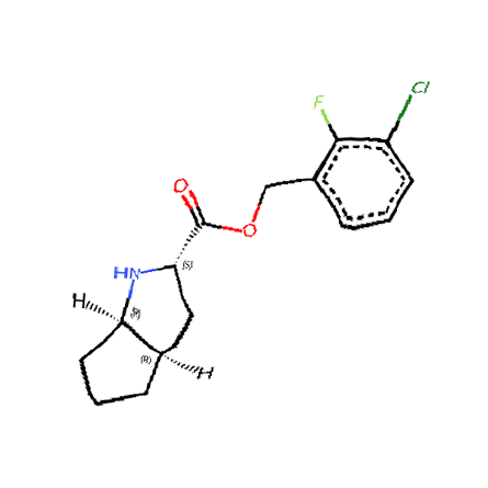 O=C(OCc1cccc(Cl)c1F)[C@@H]1C[C@H]2CCC[C@H]2N1